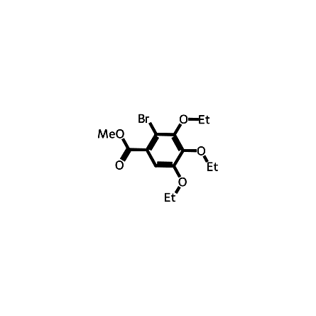 CCOc1cc(C(=O)OC)c(Br)c(OCC)c1OCC